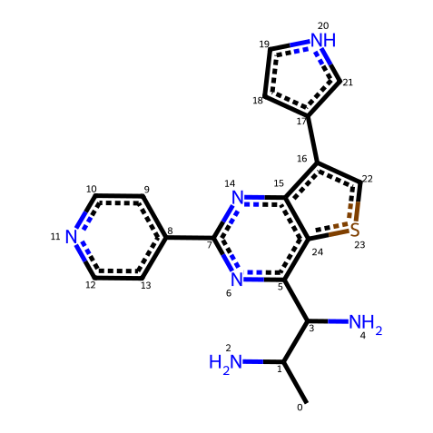 CC(N)C(N)c1nc(-c2ccncc2)nc2c(-c3cc[nH]c3)csc12